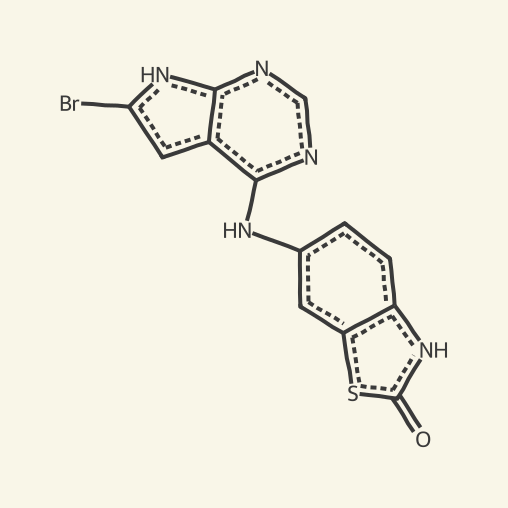 O=c1[nH]c2ccc(Nc3ncnc4[nH]c(Br)cc34)cc2s1